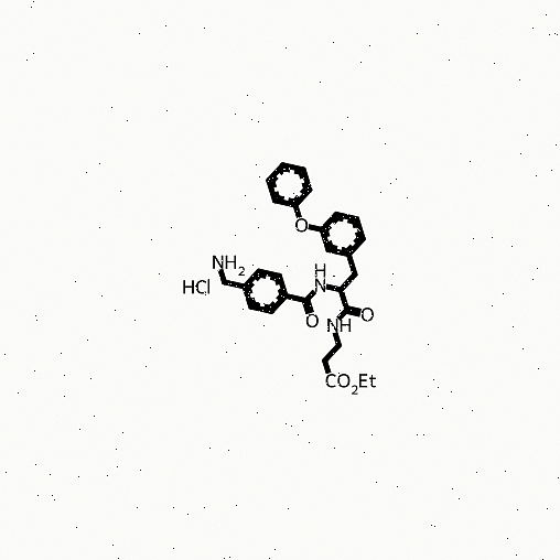 CCOC(=O)CCNC(=O)C(Cc1cccc(Oc2ccccc2)c1)NC(=O)c1ccc(CN)cc1.Cl